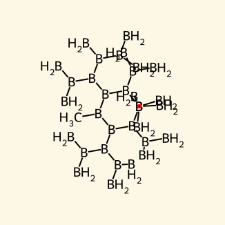 BB(B)B(B)B(B(B)B)B(B(C)B(B(B(B)B)B(B)B)B(B(B)B)B(B)B)B(B(B)B)B(B)B